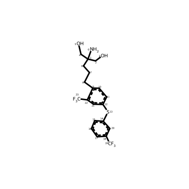 NC(CO)(CO)CCCc1ccc(Sc2cccc(C(F)(F)F)c2)cc1C(F)(F)F